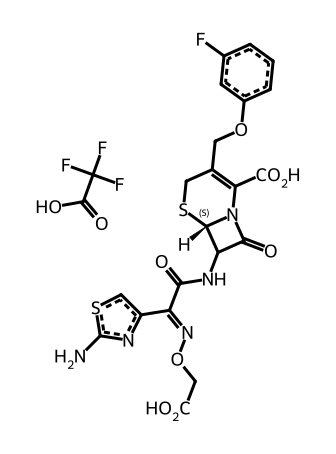 Nc1nc(C(=NOCC(=O)O)C(=O)NC2C(=O)N3C(C(=O)O)=C(COc4cccc(F)c4)CS[C@@H]23)cs1.O=C(O)C(F)(F)F